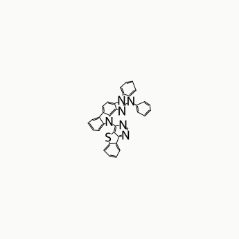 c1ccc(-n2c3ccccc3n3c4ccc5c6ccccc6n(-c6ncnc7c6sc6ccccc67)c5c4nc23)cc1